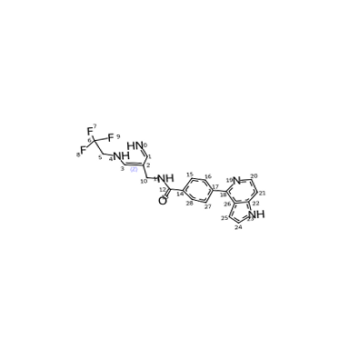 N=C/C(=C\NCC(F)(F)F)CNC(=O)c1ccc(-c2nccc3[nH]ccc23)cc1